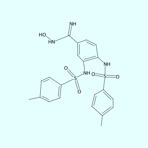 Cc1ccc(S(=O)(=O)Nc2ccc(C(=N)NO)cc2NS(=O)(=O)c2ccc(C)cc2)cc1